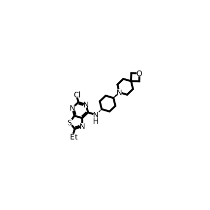 CCc1nc2c(N[C@H]3CC[C@H](N4CCC5(CC4)COC5)CC3)nc(Cl)nc2s1